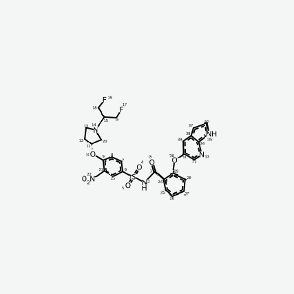 O=C(NS(=O)(=O)c1ccc(O[C@@H]2CCN(C(CF)CF)C2)c([N+](=O)[O-])c1)c1ccccc1Oc1cnc2[nH]ccc2c1